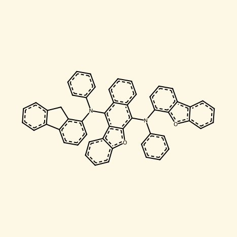 c1ccc(N(c2cccc3c2oc2ccccc23)c2c3ccccc3c(N(c3ccccc3)c3cccc4c3Cc3ccccc3-4)c3c2oc2ccccc23)cc1